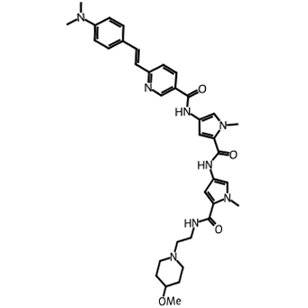 COC1CCN(CCNC(=O)c2cc(NC(=O)c3cc(NC(=O)c4ccc(/C=C/c5ccc(N(C)C)cc5)nc4)cn3C)cn2C)CC1